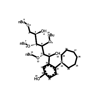 CCCCOC[C@@H](O)[C@@H](OCCCC)C(OCCCC)[C@@H](OCCCC)C(C)c1cc(O)ccc1N1CCCCCC1